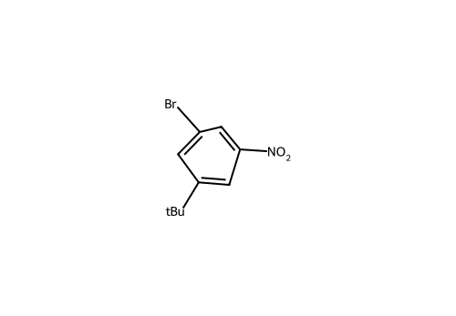 CC(C)(C)c1cc(Br)cc([N+](=O)[O-])c1